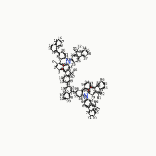 Cc1ccccc1-c1cc(-c2cccc3ccccc23)ccc1N(c1ccc2c(c1)C(C)(C)c1ccccc1-2)c1ccc2c(c1)C(C)(C)c1cc(-c3cc(-c4ccc(N(c5ccc6c(c5)C(C)(C)c5ccccc5-6)c5ccc6c(c5)C(C)(C)c5ccccc5-6)c(-c5ccccc5)c4)c4ccccc4c3)ccc1-2